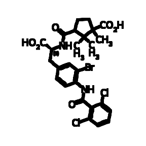 CC1(C(=O)O)CCC(C(=O)N[C@@H](Cc2ccc(NC(=O)c3c(Cl)cccc3Cl)c(Br)c2)C(=O)O)C1(C)C